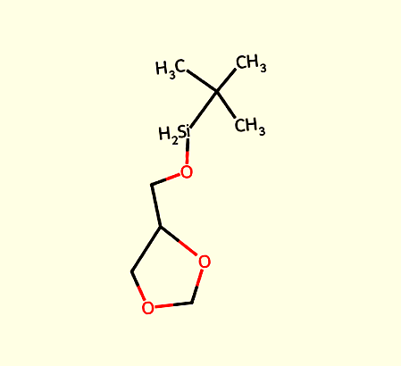 CC(C)(C)[SiH2]OCC1COCO1